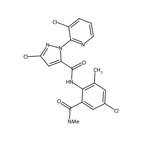 CNC(=O)c1cc(Cl)cc(C)c1NC(=O)c1cc(Cl)nn1-c1ncccc1Cl